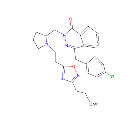 COCCc1noc(CCN2CCCC2Cn2nc(Cc3ccc(Cl)cc3)c3ccccc3c2=O)n1